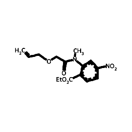 C=CCOCC(=O)N(C)c1cc([N+](=O)[O-])ccc1C(=O)OCC